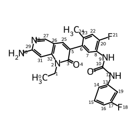 CCn1c(=O)c(-c2cc(NC(=O)Nc3cccc(F)c3)c(F)cc2C)cc2cnc(N)cc21